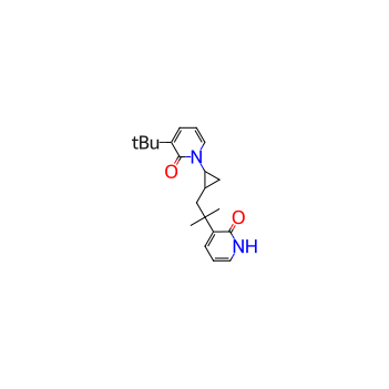 CC(C)(C)c1cccn(C2CC2CC(C)(C)c2ccc[nH]c2=O)c1=O